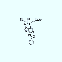 CC[C@H]1O[C@@H](n2cnc3c(NC(=O)c4ccccc4)ncnc32)[C@H](OCCOC)[C@@H]1O